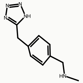 CNCc1ccc(Cc2nnn[nH]2)cc1